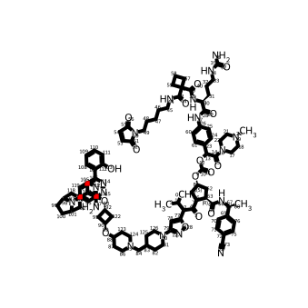 CC(C)C(C(=O)C1C[C@H](OC(=O)OC(C(=O)N2CCN(C)CC2)c2ccc(NC(=O)[C@H](CCCNC(N)=O)NC(=O)C3(C(=O)NCCCCCN4C(=O)C=CC4=O)CCC3)cc2)C[C@H]1C(=O)N[C@@H](C)c1ccc(C#N)cc1)c1cc(N2CCC(CN3CCC(O[C@H]4C[C@H](Oc5cc(N6C7CCC6CN(c6cc(-c8ccccc8O)nnc6N)C7)ccn5)C4)CC3)CC2)no1